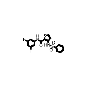 O=C(Nc1cc(F)cc(F)c1)c1sccc1NS(=O)(=O)c1ccccc1